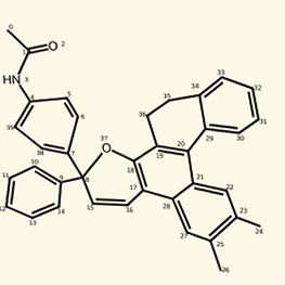 CC(=O)Nc1ccc(C2(c3ccccc3)C=Cc3c(c4c(c5cc(C)c(C)cc35)-c3ccccc3CC4)O2)cc1